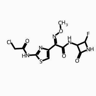 CON=C(C(=O)NC1C(=O)NC1F)c1csc(NC(=O)CCl)n1